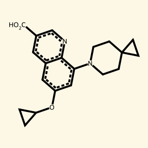 O=C(O)c1cnc2c(N3CCC4(CC3)CC4)cc(OC3CC3)cc2c1